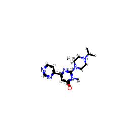 CC(C)N1CCN(c2nc(-c3ccncn3)cc(=O)n2C)[C@H](C)C1